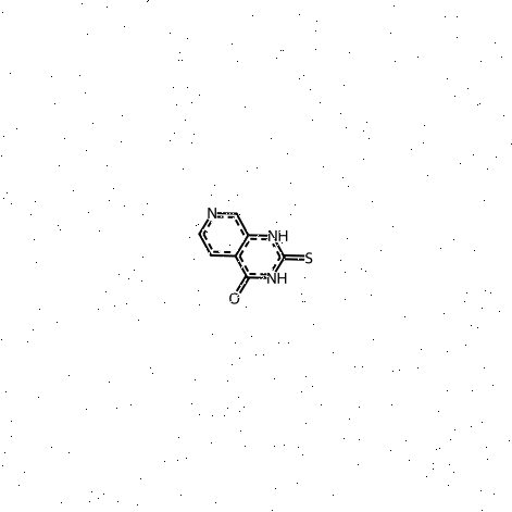 O=c1[nH]c(=S)[nH]c2cnccc12